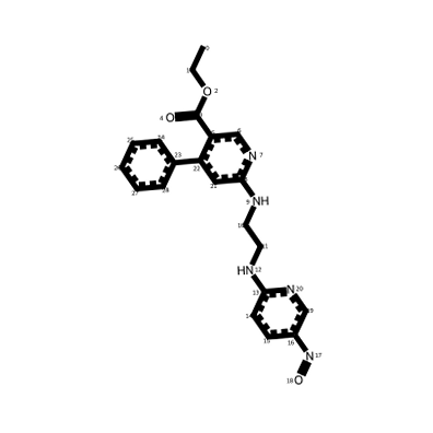 CCOC(=O)c1cnc(NCCNc2ccc(N=O)cn2)cc1-c1ccccc1